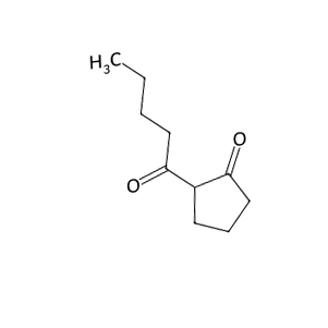 CCCCC(=O)C1CCCC1=O